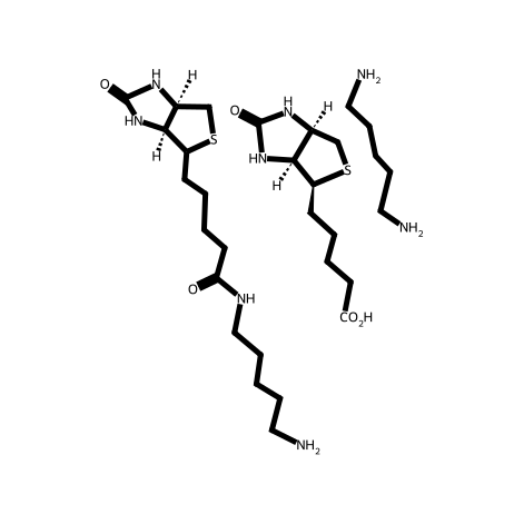 NCCCCCN.NCCCCCNC(=O)CCCCC1SC[C@@H]2NC(=O)N[C@H]12.O=C(O)CCCC[C@@H]1SC[C@@H]2NC(=O)N[C@@H]21